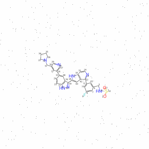 CS(=O)(=O)NCc1cc(F)cc(-c2nccc3[nH]c(-c4n[nH]c5ccc(-c6cncc(CN7CCCC7)c6)cc45)cc23)c1